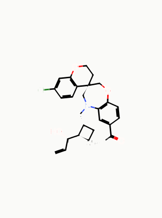 C=C[C@H](O)[C@@H]1CC[C@H]1CN1C[C@@]2(CCOc3cc(Cl)ccc32)COc2ccc(C(=O)OC)cc21